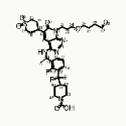 C[C@@H](Nc1ncnc2c1cc(C1CCS(=O)(=O)CC1)c(=O)n2CCCOCCCC=O)c1cccc(C(F)(F)C2CCN(C(=O)O)CC2)c1F